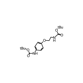 CC(C)(C)OC(=O)NCCOc1ccc(NC(=O)OC(C)(C)C)cc1